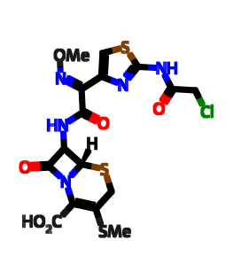 CON=C(C(=O)NC1C(=O)N2C(C(=O)O)=C(SC)CS[C@@H]12)c1csc(NC(=O)CCl)n1